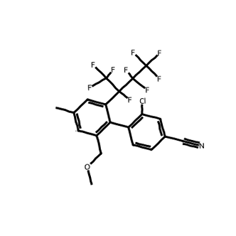 COCc1[c]c(C)cc(C(F)(C(F)(F)F)C(F)(F)C(F)(F)F)c1-c1ccc(C#N)cc1Cl